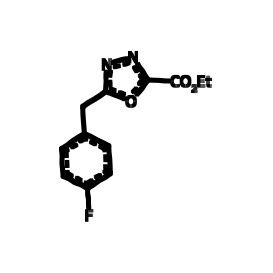 CCOC(=O)c1nnc(Cc2ccc(F)cc2)o1